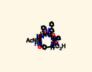 CC(=O)N[C@H]1CNC(=O)c2ccc(cc2)C[C@@H](C(=O)O)NC(=O)[C@@H](Cc2ccccc2)NC(=O)[C@H](Cc2ccc(-c3ccccc3)cc2)NC(=O)[C@@H](CCc2ccccc2)NC1=O